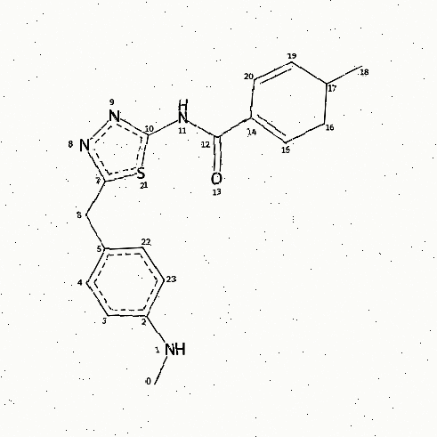 CNc1ccc(Cc2nnc(NC(=O)C3=CCC(C)C=C3)s2)cc1